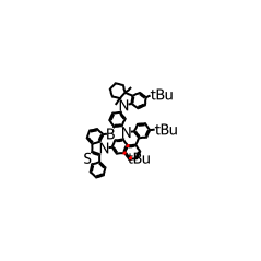 CC(C)(C)c1ccc(N2c3cc(N4c5ccc(C(C)(C)C)cc5C5(C)CCCCC45C)ccc3B3c4c2cc(C(C)(C)C)cc4-n2c4c3cccc4c3sc4ccccc4c32)c(-c2ccccc2)c1